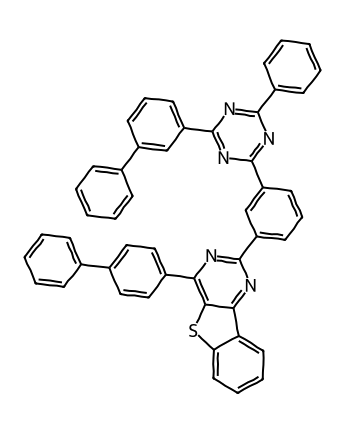 c1ccc(-c2ccc(-c3nc(-c4cccc(-c5nc(-c6ccccc6)nc(-c6cccc(-c7ccccc7)c6)n5)c4)nc4c3sc3ccccc34)cc2)cc1